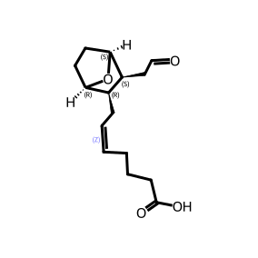 O=CC[C@H]1[C@@H](C/C=C\CCCC(=O)O)[C@H]2CC[C@@H]1O2